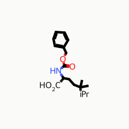 CC(C)C(C)(C)CCC(NC(=O)OCc1ccccc1)C(=O)O